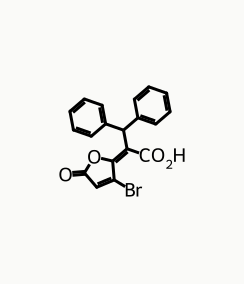 O=C1C=C(Br)C(=C(C(=O)O)C(c2ccccc2)c2ccccc2)O1